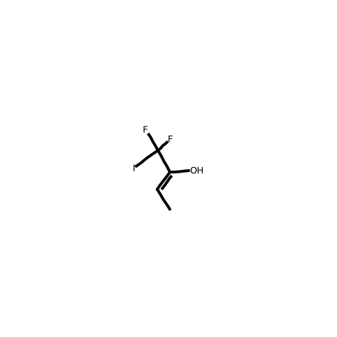 CC=C(O)C(F)(F)I